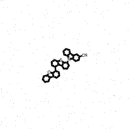 N#Cc1ccc2c(c1)c1ccccc1n2-c1cccc2c1sc1cccc(-c3cccc4c3oc3ccccc34)c12